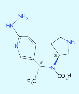 NNc1ccc([C@H](N(C(=O)O)[C@H]2CCNC2)C(F)(F)F)cn1